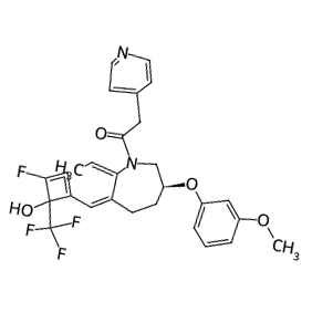 C/C=C1\C(=C/C2=C=C(F)C2(O)C(F)(F)F)CC[C@H](Oc2cccc(OC)c2)CN1C(=O)Cc1ccncc1